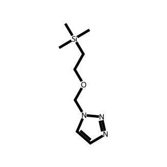 C[Si](C)(C)CCOCn1ccnn1